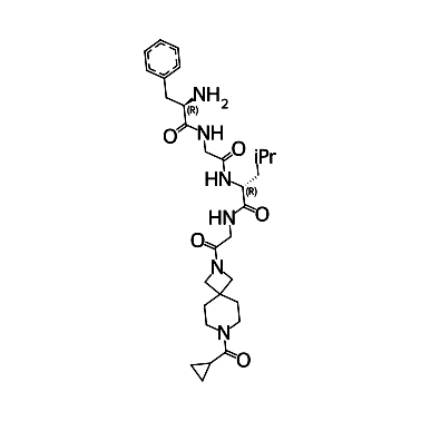 CC(C)C[C@@H](NC(=O)CNC(=O)[C@H](N)Cc1ccccc1)C(=O)NCC(=O)N1CC2(CCN(C(=O)C3CC3)CC2)C1